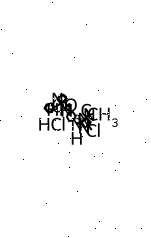 CN(C)c1cc(Cl)nc(N[C@H]2CC[C@@H](NC(=O)c3cccnc3Oc3ccccc3)CC2)n1.Cl